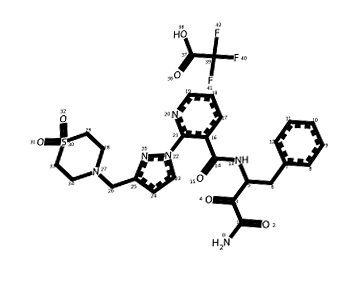 NC(=O)C(=O)C(Cc1ccccc1)NC(=O)c1cccnc1-n1ccc(CN2CCS(=O)(=O)CC2)n1.O=C(O)C(F)(F)F